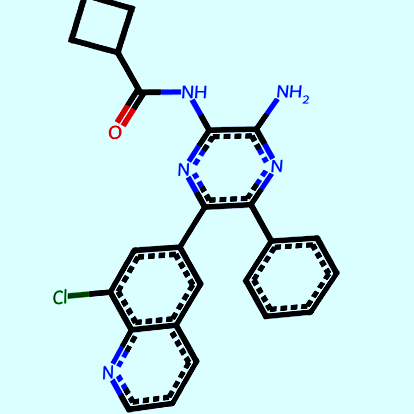 Nc1nc(-c2ccccc2)c(-c2cc(Cl)c3ncccc3c2)nc1NC(=O)C1CCC1